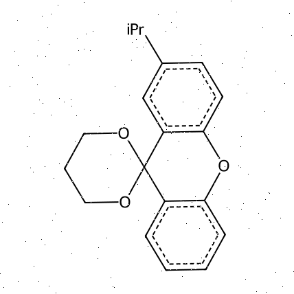 CC(C)c1ccc2c(c1)C1(OCCCO1)c1ccccc1O2